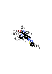 Cc1ccc2sc(N3CCc4cc(-c5c(C)nc(C)c([C@H](OC(C)(C)C)C(=O)O)c5N5CCC(C)(C)CC5)ccc4C3)nc2c1